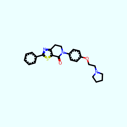 O=C1c2sc(-c3ccccc3)nc2CCN1c1ccc(OCCN2CCCC2)cc1